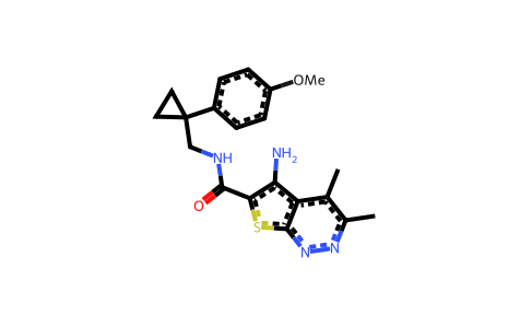 COc1ccc(C2(CNC(=O)c3sc4nnc(C)c(C)c4c3N)CC2)cc1